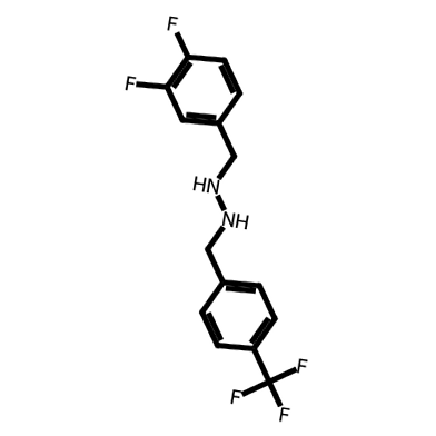 Fc1ccc(CNNCc2ccc(C(F)(F)F)cc2)cc1F